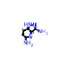 Nc1ccc2[nH]nc(N)c2n1